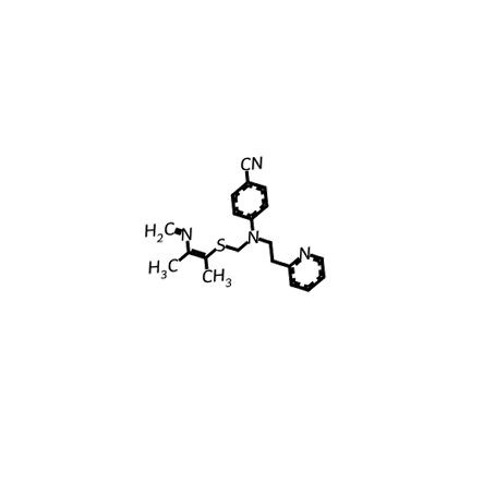 C=N/C(C)=C(/C)SCN(CCc1ccccn1)c1ccc(C#N)cc1